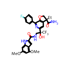 CC[C@]1(C(N)=O)COc2c1cc([C@@](O)(CNC(=O)c1cc3c(OC)cc(OC)cc3[nH]1)C(F)(F)F)nc2-c1ccc(F)cc1